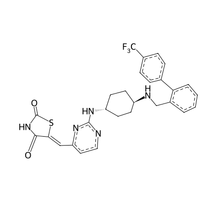 O=C1NC(=O)C(=Cc2ccnc(N[C@H]3CC[C@H](NCc4ccccc4-c4ccc(C(F)(F)F)cc4)CC3)n2)S1